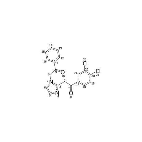 O=C(Cc1nccn1CC(=O)c1ccccc1)c1ccc(Cl)c(Cl)c1